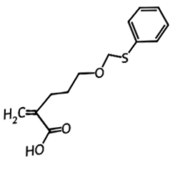 C=C(CCCOCSc1ccccc1)C(=O)O